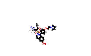 CC(=O)/C(=C(/C)N)S(=O)(=O)N1CCc2cc(O)ccc2C1c1ccc(OCCN2CCCC2)cc1